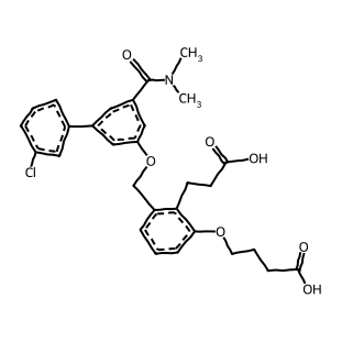 CN(C)C(=O)c1cc(OCc2cccc(OCCCC(=O)O)c2CCC(=O)O)cc(-c2cccc(Cl)c2)c1